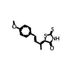 COc1ccc(C=CC(C)=C2SC(=S)NC2=O)cc1